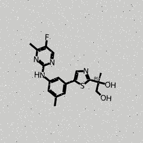 Cc1cc(Nc2ncc(F)c(C)n2)cc(-c2cnc([C@](C)(O)CO)s2)c1